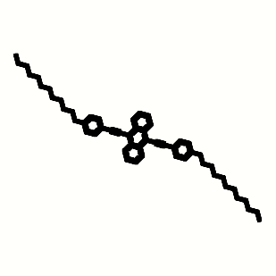 CCCCCCCCCCCCc1ccc(C#Cc2c3ccccc3c(C#Cc3ccc(CCCCCCCCCCCC)cc3)c3ccccc23)cc1